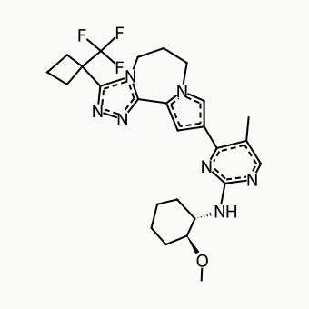 CO[C@H]1CCCC[C@@H]1Nc1ncc(C)c(-c2cc3n(c2)CCCn2c-3nnc2C2(C(F)(F)F)CCC2)n1